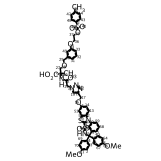 COc1ccc(C(NS(=O)(=O)c2nc3ccc(OCc4cn(CC(=O)N[C@@](C)(COCc5cccc(OCCOS(=O)(=O)c6ccc(C)cc6)c5)C(=O)O)nn4)cc3s2)(c2ccccc2)c2ccc(OC)cc2)cc1